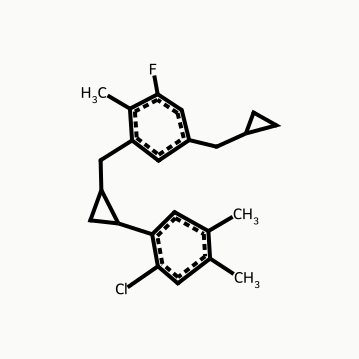 Cc1cc(Cl)c(C2CC2Cc2cc(CC3CC3)cc(F)c2C)cc1C